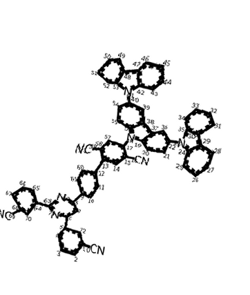 N#Cc1cccc(-c2cc(-c3ccc(-c4cc(C#N)c(-n5c6ccc(-n7c8ccccc8c8ccccc87)cc6c6cc(-n7c8ccccc8c8ccccc87)ccc65)cc4C#N)cc3)nc(-c3cccc(C#N)c3)n2)c1